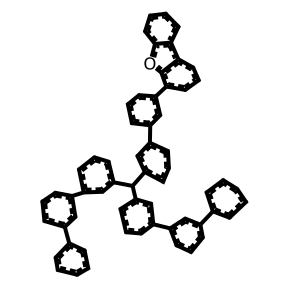 c1ccc(-c2cccc(-c3cccc(C(c4cccc(-c5cccc(-c6ccccc6)c5)c4)c4cccc(-c5cccc(-c6cccc7c6oc6ccccc67)c5)c4)c3)c2)cc1